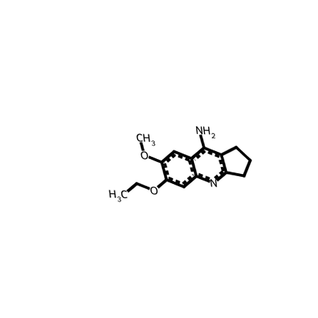 CCOc1cc2nc3c(c(N)c2cc1OC)CCC3